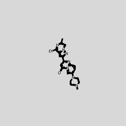 CCc1nc(C)cn2nc(-c3cc(=O)n4cc(N5CCN(C)CC5)ccc4n3)cc12